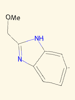 COCc1nc2cc[c]cc2[nH]1